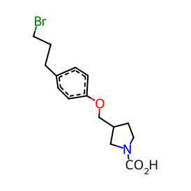 O=C(O)N1CCC(COc2ccc(CCCBr)cc2)C1